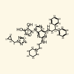 O[C@@H]1[C@H](O)[C@@H](c2nnn(CC3CC3)n2)O[C@H]1n1cnc2c(NCC(c3ccccc3)c3ccccc3)nc(NCCN3CCCCC3)nc21